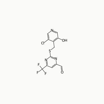 O=Cc1cc(C(F)(F)F)nc(SCc2c(O)cncc2Cl)n1